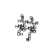 CC(=O)N1CC(Nc2cc(C(=O)NC[C@@H](O)[C@@H]3Cc4ccc(O)cc4CN3C(=O)OC(C)(C)C)cc(N3CCCCC3)c2)C1.CC(=O)N1CC(Nc2cc(C(=O)NC[C@@H](O)[C@@H]3Cc4ccc(OCc5ocnc5C)cc4CN3C(=O)OC(C)(C)C)cc(N3CCCCC3)c2)C1